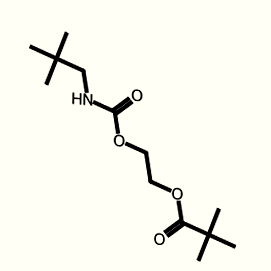 CC(C)(C)CNC(=O)OCCOC(=O)C(C)(C)C